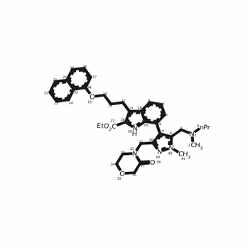 CCCN(C)Cc1c(-c2cccc3c(CCCOc4cccc5ccccc45)c(C(=O)OCC)[nH]c23)c(CN2CCOCC2=O)nn1C